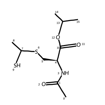 CC(=O)N[C@@H](CSC(C)S)C(=O)OC(C)C